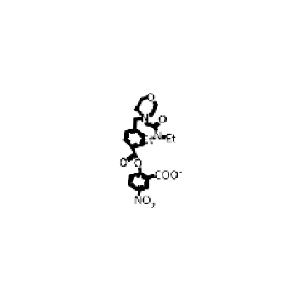 CCN(CC)C(=O)C[N+]1(Cc2ccc(C(=O)Oc3ccc([N+](=O)[O-])cc3C(=O)[O-])cc2)CCOCC1